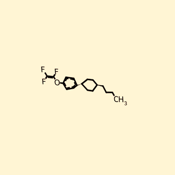 CCCC[C@H]1CC[C@H](c2ccc(OC(F)=C(F)F)cc2)CC1